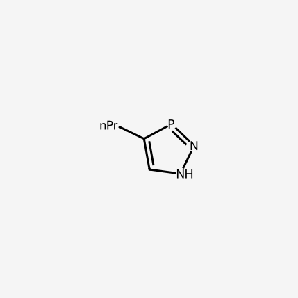 CCCc1c[nH]np1